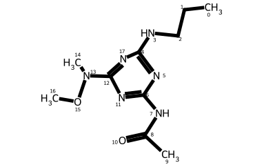 CCCNc1nc(NC(C)=O)nc(N(C)OC)n1